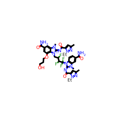 CCn1nc(C)cc1C(=O)/N=c1\n(C)c2cc(C(N)=O)cc(OCCCO)c2n1CC(F)C(F)C(F)(F)n1/c(=N/C(=O)c2cc(C)nn2CC)n(C)c2cc(C(N)=O)ccc21